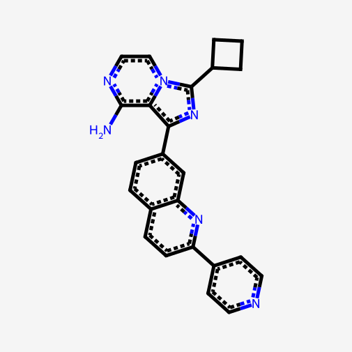 Nc1nccn2c(C3CCC3)nc(-c3ccc4ccc(-c5ccncc5)nc4c3)c12